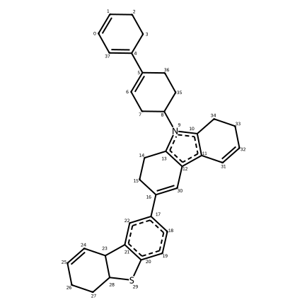 C1=CCCC(C2=CCC(n3c4c(c5c3CCC(c3ccc6c(c3)C3C=CCCC3S6)=C5)C=CCC4)CC2)=C1